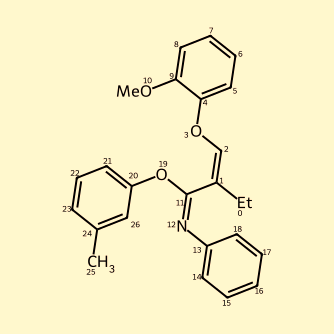 CCC(=COc1ccccc1OC)/C(=N\c1ccccc1)Oc1cccc(C)c1